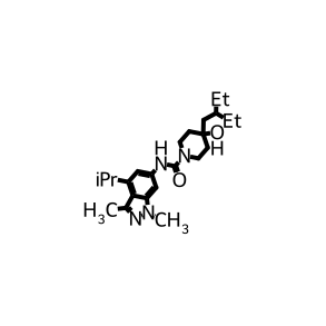 CCC(CC)CC1(O)CCN(C(=O)Nc2cc(C(C)C)c3c(C)nn(C)c3c2)CC1